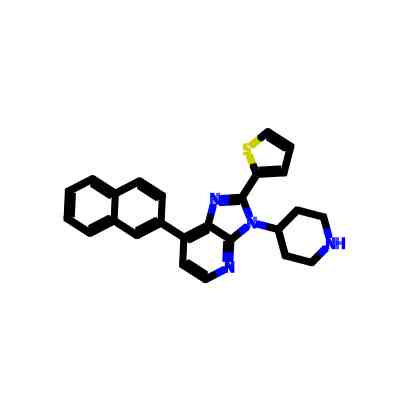 c1csc(-c2nc3c(-c4ccc5ccccc5c4)ccnc3n2C2CCNCC2)c1